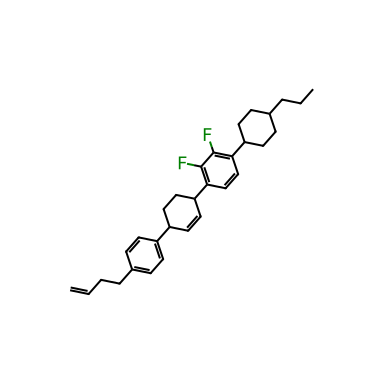 C=CCCc1ccc(C2C=CC(c3ccc(C4CCC(CCC)CC4)c(F)c3F)CC2)cc1